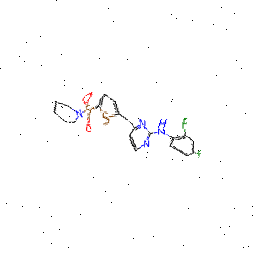 O=S(=O)(c1ccc(-c2ccnc(Nc3ccc(F)cc3F)n2)s1)N1CCCCC1